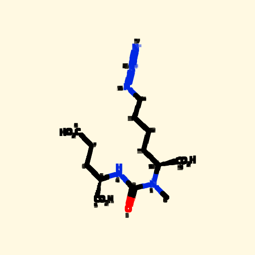 CN(C(=O)N[C@@H](CCC(=O)O)C(=O)O)[C@@H](CCCCN=[N+]=[N-])C(=O)O